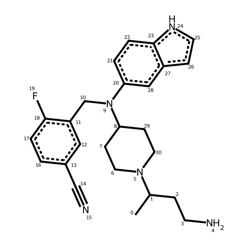 CC(CCN)N1CCC(N(Cc2cc(C#N)ccc2F)c2ccc3[nH]ccc3c2)CC1